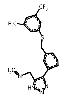 C=NCc1[nH]nnc1-c1cccc(CSc2cc(C(F)(F)F)cc(C(F)(F)F)c2)c1